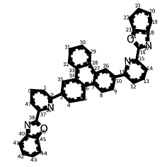 c1cc(-c2ccc3c4ccc(-c5cccc(-c6nc7ccccc7o6)n5)cc4c4ccccc4c3c2)nc(-c2nc3ccccc3o2)c1